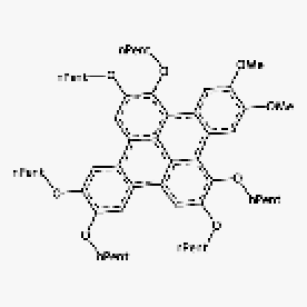 CCCCCOc1cc2c(cc1OCCCCC)c1cc(OCCCCC)c(OCCCCC)c3c4cc(OC)c(OC)cc4c4c(OCCCCC)c(OCCCCC)cc2c4c13